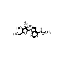 CONc1ncnc2c1ccn2C1OC(CO)C(O)C1(C)O